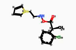 C[C@H](C(=O)ONCC[SH]1C=CC=C1)c1ccccc1Cl